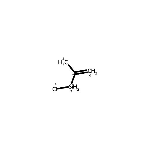 C=C(C)[SiH2]Cl